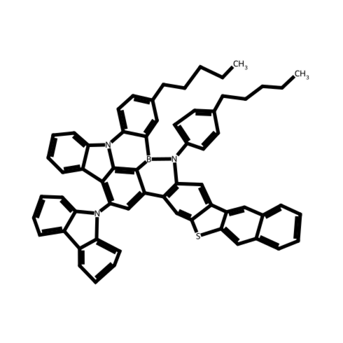 CCCCCc1ccc(N2B3c4cc(CCCCC)ccc4-n4c5ccccc5c5c(-n6c7ccccc7c7ccccc76)cc(c3c54)-c3cc4sc5cc6ccccc6cc5c4cc32)cc1